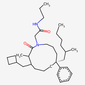 CCCCC(C)C[C@]1(c2ccccc2)CCCC(CC2CCC2)C(C)C(=O)N(CC(=O)NCCC)CCC1